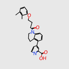 Cc1cccc(OCCCC(=O)N2CCCc3c(-c4ccnc(C(=O)O)c4)cccc32)c1C